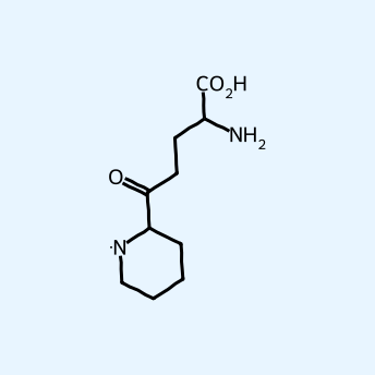 NC(CCC(=O)C1CCCC[N]1)C(=O)O